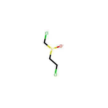 [O-][S+](CCl)CCCl